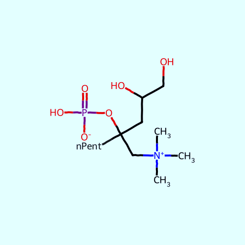 CCCCCC(CC(O)CO)(C[N+](C)(C)C)OP(=O)([O-])O